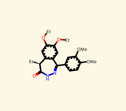 CCOc1cc2c(cc1OCC)[C@H](CC)C(=O)NN=C2c1ccc(OC)c(OC)c1